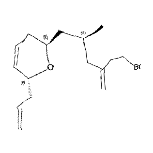 C=CC[C@@H]1C=CC[C@@H](C[C@@H](C)CC(=C)CBr)O1